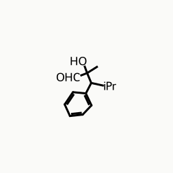 CC(C)C(c1ccccc1)C(C)(O)C=O